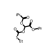 CCSC(=O)OC(OC(=O)C(C)C)C(=O)OC(C)C